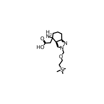 C[Si](C)(C)CCOCn1cc2c(n1)CCCC2(N)CC(=O)O